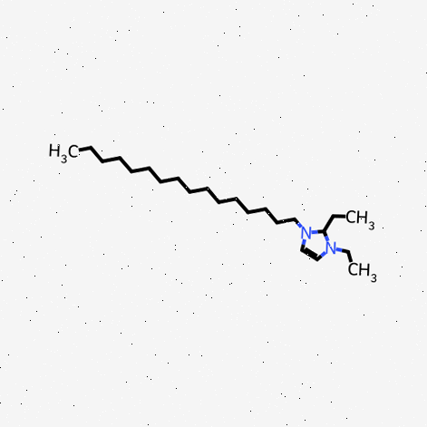 CCCCCCCCCCCCCCCCN1C=CN(CC)C1CC